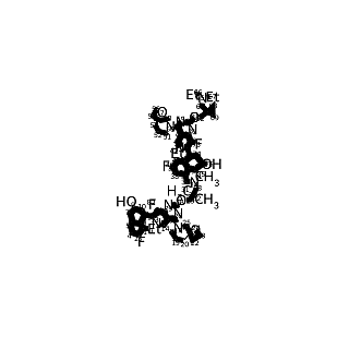 CCc1c(F)ccc2cc(O)cc(-c3ncc4c(N5CCC[C@]6(CCO6)C5)nc(OCC(C)(C)CN(C)Cc5cc(F)c(CC)c6c(-c7ncc8c(N9CCC[C@]%10(CCO%10)C9)nc(OCC9(CN(CC)CC)CC9)nc8c7F)cc(O)cc56)nc4c3F)c12